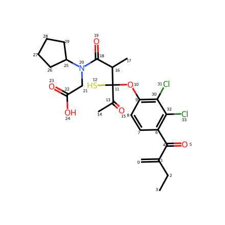 C=C(CC)C(=O)c1ccc(OC(S)(C(C)=O)C(C)C(=O)N(CC(=O)O)C2CCCC2)c(Cl)c1Cl